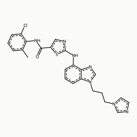 Cc1cccc(Cl)c1NC(=O)c1cnc(Nc2cccc3c2ncn3CCCn2ccnc2)s1